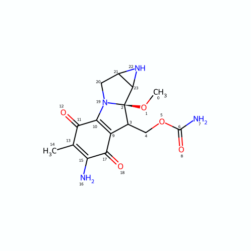 CO[C@@]12C(COC(N)=O)C3=C(C(=O)C(C)=C(N)C3=O)N1CC1NC12